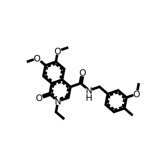 CCn1cc(C(=O)NCc2ccc(C)c(OC)c2)c2cc(OC)c(OC)cc2c1=O